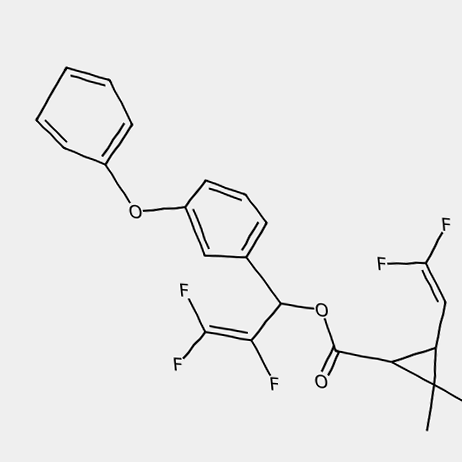 CC1(C)C(C=C(F)F)C1C(=O)OC(C(F)=C(F)F)c1cccc(Oc2ccccc2)c1